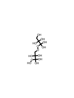 OCC(O)(O)C(O)(O)OOCC(O)(O)C(O)(O)OO